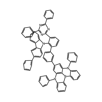 c1ccc(-c2ccc3c(c2)c2ccccc2n3-c2c(-c3cccc(-c4cc5c6c(c4)N(c4ccccc4)c4ccccc4B6c4ccccc4N5c4ccccc4)c3)cccc2-c2nc(-c3ccccc3)nc(-c3ccccc3)n2)cc1